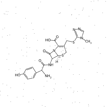 Cn1cnnc1SCC1=C(C(=O)O)N2C(=O)C(NC(=O)C(N)c3ccc(O)cc3)[C@@H]2SC1